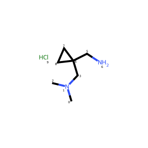 CN(C)CC1(CN)CC1.Cl